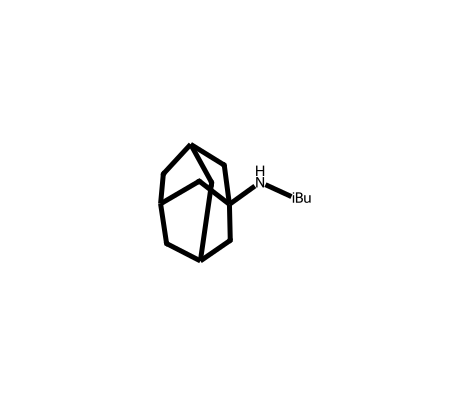 CCC(C)NC12CC3CC(CC(C3)C1)C2